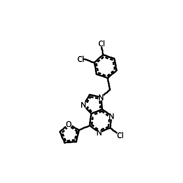 Clc1nc(-c2ccco2)c2ncn(Cc3ccc(Cl)c(Cl)c3)c2n1